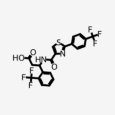 O=C(O)CC(NC(=O)c1csc(-c2ccc(C(F)(F)F)cc2)n1)c1ccccc1C(F)(F)F